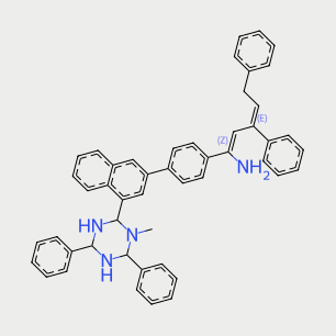 CN1C(c2ccccc2)NC(c2ccccc2)NC1c1cc(-c2ccc(/C(N)=C/C(=C\Cc3ccccc3)c3ccccc3)cc2)cc2ccccc12